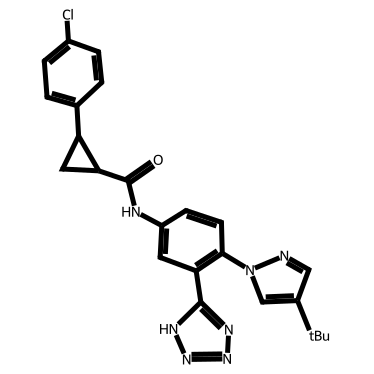 CC(C)(C)c1cnn(-c2ccc(NC(=O)C3CC3c3ccc(Cl)cc3)cc2-c2nnn[nH]2)c1